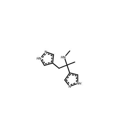 CNC(C)(Cc1cn[nH]c1)c1cn[nH]c1